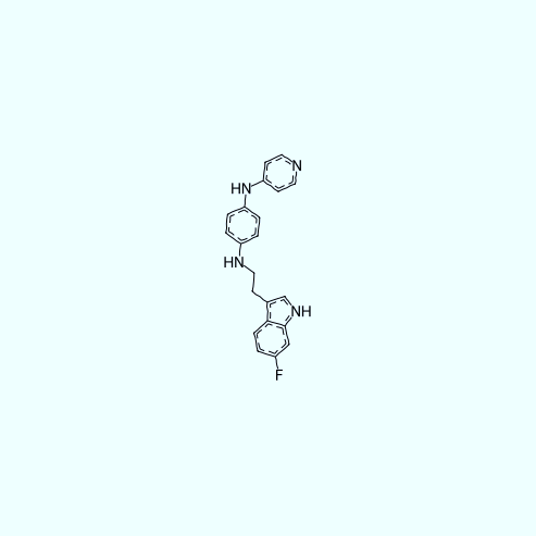 Fc1ccc2c(CCNc3ccc(Nc4ccncc4)cc3)c[nH]c2c1